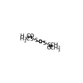 C=C(C)C(=O)SCCSCc1ccc(CSCCSC(=O)C(=C)C)cc1